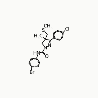 CSCC1(C)CN(C(=O)Nc2ccc(Br)cc2)N=C1c1ccc(Cl)cc1